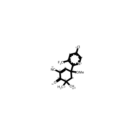 COC1(c2ncc(Cl)cc2C(F)(F)F)C=C(C#N)C(=O)C(C)(C)C1